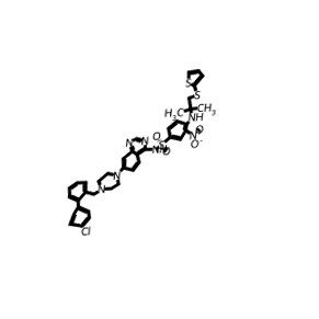 CC(C)(CSc1cccs1)Nc1ccc(S(=O)(=O)Nc2ncnc3cc(N4CCN(Cc5ccccc5-c5ccc(Cl)cc5)CC4)ccc23)cc1[N+](=O)[O-]